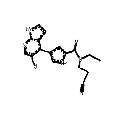 CCN(CCC#N)C(=O)c1cc(-c2c(Cl)cnc3[nH]ccc23)c[nH]1